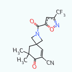 CC1(C)CC2(C=C(C#N)C1=O)CN(C(=O)c1cc(C(F)(F)F)no1)C2